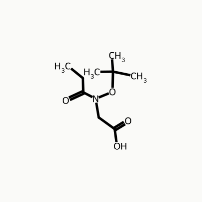 CCC(=O)N(CC(=O)O)OC(C)(C)C